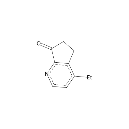 CCc1ccnc2c1CCC2=O